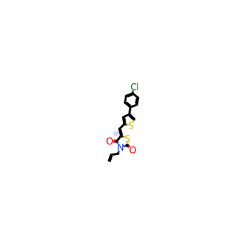 C=CCN1C(=O)S/C(=C\c2cc(-c3ccc(Cl)cc3)cs2)C1=O